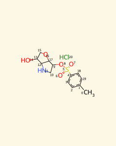 Cc1ccc(S(=O)(=O)OC2CNC3C(O)COC23)cc1.Cl